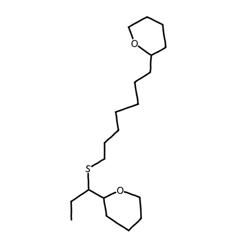 CCC(SCCCCCCCC1CCCCO1)C1CCCCO1